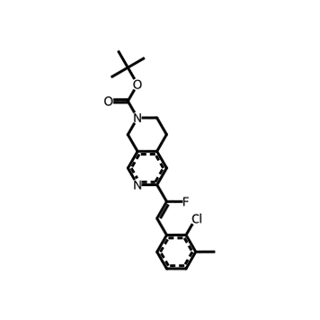 Cc1cccc(/C=C(\F)c2cc3c(cn2)CN(C(=O)OC(C)(C)C)CC3)c1Cl